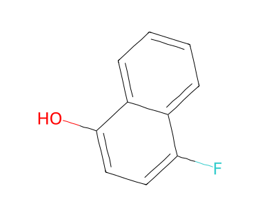 Oc1ccc(F)c2ccccc12